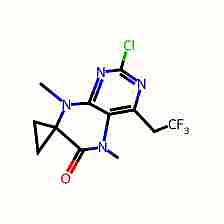 CN1C(=O)C2(CC2)N(C)c2nc(Cl)nc(CC(F)(F)F)c21